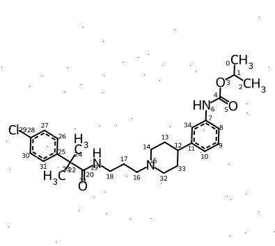 CC(C)OC(=O)Nc1cccc(C2CCN(CCCNC(=O)C(C)(C)c3ccc(Cl)cc3)CC2)c1